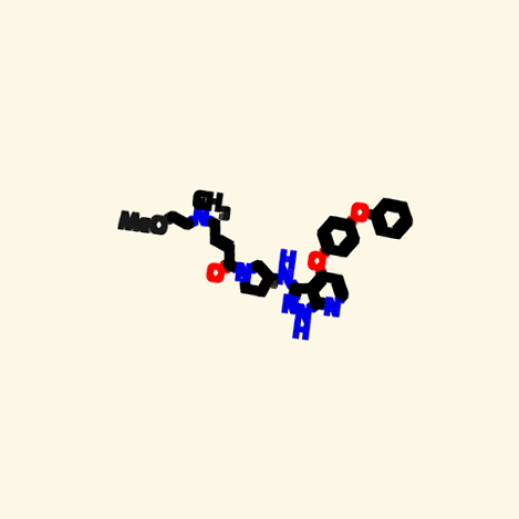 COCCN(C)CC=CC(=O)N1CC[C@@H](Nc2n[nH]c3nccc(Oc4ccc(Oc5ccccc5)cc4)c23)C1